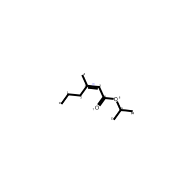 CCC/C(C)=C\C(=O)OC(C)C